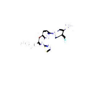 NC1CN(c2ccc3c(=O)c(C(=O)O)cn(-c4nccs4)c3n2)CC1CF